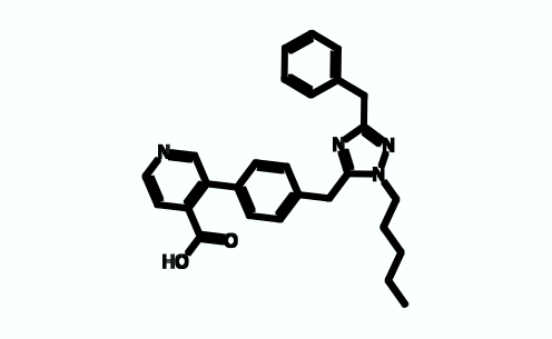 CCCCCn1nc(Cc2ccccc2)nc1Cc1ccc(-c2cnccc2C(=O)O)cc1